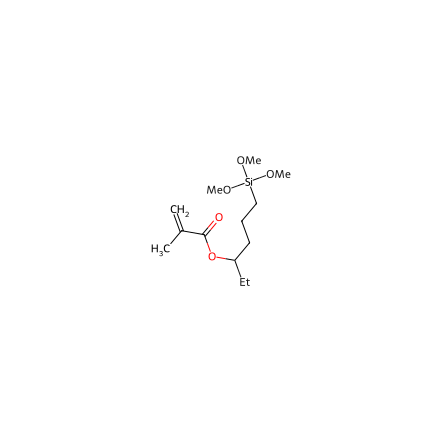 C=C(C)C(=O)OC(CC)CCC[Si](OC)(OC)OC